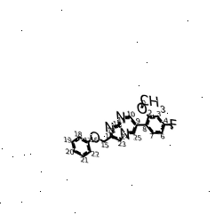 COc1cc(F)ccc1-c1cnc2nc(COc3ccccc3)cn2c1